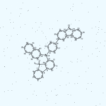 CC1(C)c2ccccc2-c2cccc(N(c3ccc(-c4ccc5sc6ccccc6c5c4)cc3)c3ccc4ccccc4c3)c21